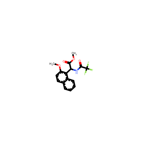 COC(=O)C(NC(=O)C(F)(F)F)c1c(OC)ccc2ccccc12